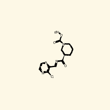 CC(C)(C)OC(=O)N1CCC[C@@H](C(=O)N=Cc2nccnc2Cl)C1